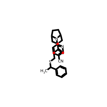 CC(SCCC(=O)N1CC2CCC(C1)N2c1ccc(C#N)cn1)c1ccccc1